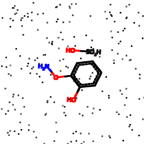 NOc1ccccc1O.O=S(=O)(O)O